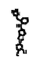 Clc1ccc(N2Cc3ccc(Nc4ccccc4Cn4cnnn4)cc3C2)cc1Cl